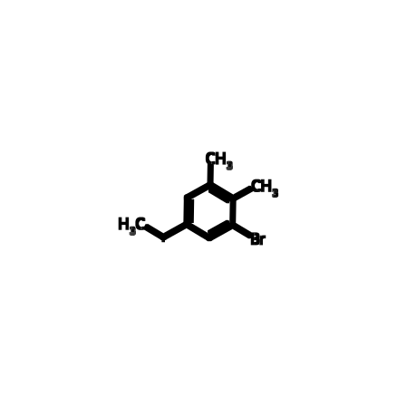 C[CH]c1cc(C)c(C)c(Br)c1